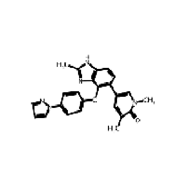 Cc1nc2c(Oc3ccc(-n4cccn4)cc3)c(-c3cc(C)c(=O)n(C)c3)ccc2[nH]1